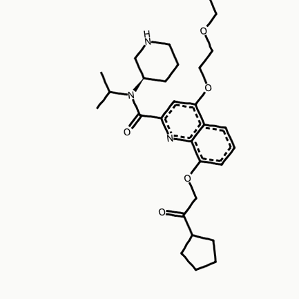 CCOCCOc1cc(C(=O)N(C(C)C)[C@@H]2CCCNC2)nc2c(OCC(=O)C3CCCC3)cccc12